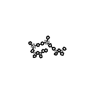 c1ccc(-c2nc(-c3ccc(-c4ccc(-c5nc(-c6ccccc6)nc(-c6cccc(-n7c8ccccc8c8c9c%10ccccc%10n(-c%10ccc%11ccccc%11c%10)c9ccc87)c6)n5)cc4)cc3)nc(-c3ccc(-c4ccc(-n5c6ccccc6c6c7c8ccccc8n(-c8ccccc8)c7ccc65)cc4)cc3)n2)cc1